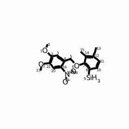 COc1cc(COc2c([SiH3])ccc(C)c2C)c([N+](=O)[O-])cc1OC